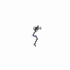 CC/C=C\CCCC/C=C\C/C=C\C/C=C\CCCCOC(=O)NCCC